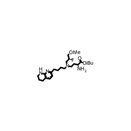 COC[C@@H](F)CN(CCCCc1ccc2c(n1)NCCC2)CC[C@H](N)C(=O)OCC(C)C